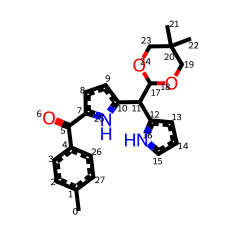 Cc1ccc(C(=O)c2ccc(C(c3ccc[nH]3)C3OCC(C)(C)CO3)[nH]2)cc1